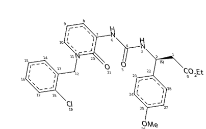 CCOC(=O)C[C@H](NC(=O)Nc1cccn(Cc2ccccc2Cl)c1=O)c1ccc(OC)cc1